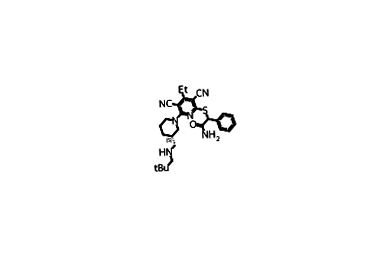 CCc1c(C#N)c(SC(C(N)=O)c2ccccc2)nc(N2CCC[C@@H](CNCC(C)(C)C)C2)c1C#N